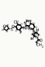 C=CC(=O)N1C[C@@H]2C[C@H]1CN2c1ccc2ncnc(Nc3cc(Cl)c(OC[C@@H]4CCOC4)cc3F)c2n1